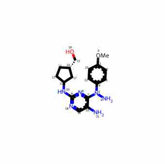 COc1ccc(N(N)c2nc(NC3CC[C@H](CO)C3)ncc2N)cc1